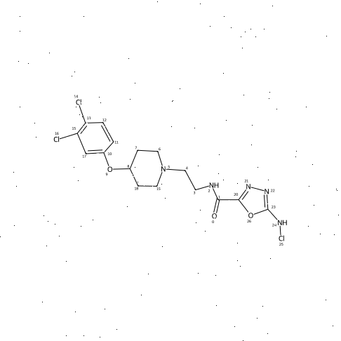 O=C(NCCN1CCC(Oc2ccc(Cl)c(Cl)c2)CC1)c1nnc(NCl)o1